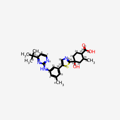 Cc1cc(Nc2nccc(C(C)(C)C)n2)cc(-c2cnc(C3(O)CCC(C(=O)O)C(C)C3)s2)c1